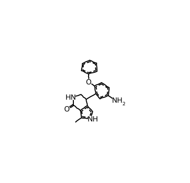 Cc1[nH]cc2c1C(=O)NCC2c1cc(N)ccc1Oc1ccccc1